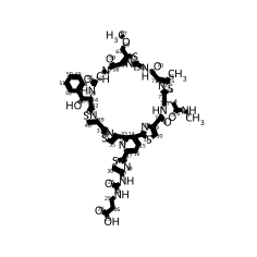 CNC(=O)C[C@@H]1NC(=O)c2csc(n2)-c2ccc(-c3nc(NC(=O)NCCC(=O)O)cs3)nc2-c2csc(n2)-c2csc(n2)[C@H]([C@@H](O)c2ccccc2)NC(=O)CNC(=O)c2nc(sc2COC)NC(=O)c2nc1sc2C